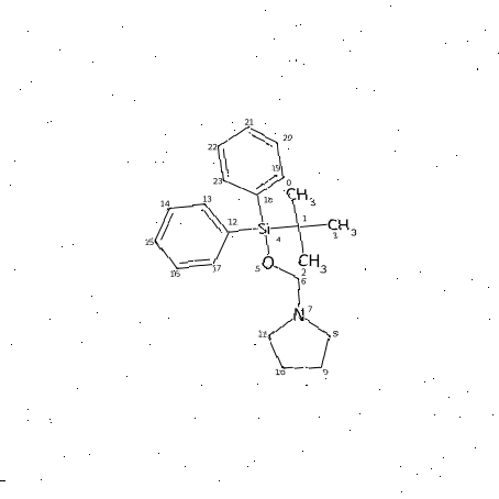 CC(C)(C)[Si](OCN1CCCC1)(c1ccccc1)c1ccccc1